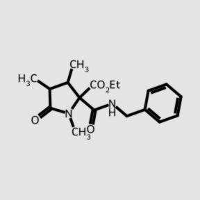 CCOC(=O)C1(C(=O)NCc2ccccc2)C(C)C(C)C(=O)N1C